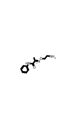 C/C(=N\OCCN)C(=O)Nc1ccccc1